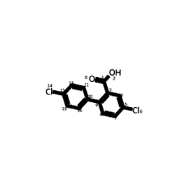 O=C(O)c1cc(Cl)ccc1-c1ccc(Cl)cc1